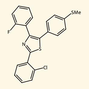 CSc1ccc(-c2sc(-c3ccccc3Cl)nc2-c2ccccc2F)cc1